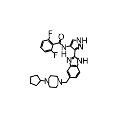 O=C(Nc1c[nH]nc1-c1nc2cc(CN3CCN(C4CCCC4)CC3)ccc2[nH]1)c1c(F)cccc1F